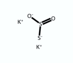 O=S([O-])[S-].[K+].[K+]